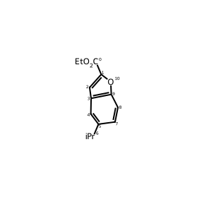 CCOC(=O)c1cc2cc(C(C)C)ccc2o1